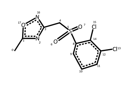 Cc1nc(CS(=O)(=O)c2cccc(Cl)c2Cl)no1